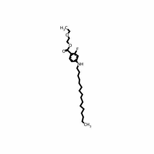 CCCCCCCCCCCCCCCCNc1ccc(C(=O)OCCOCC)c(F)c1